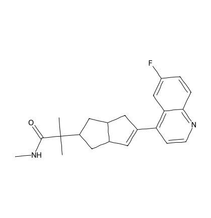 CNC(=O)C(C)(C)C1CC2C=C(c3ccnc4ccc(F)cc34)CC2C1